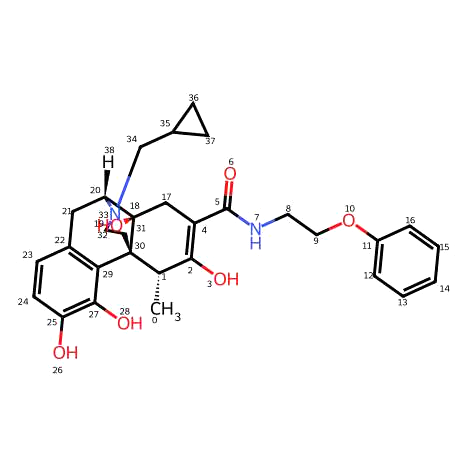 C[C@H]1C(O)=C(C(=O)NCCOc2ccccc2)C[C@@]2(O)[C@H]3Cc4ccc(O)c(O)c4[C@@]12CCN3CC1CC1